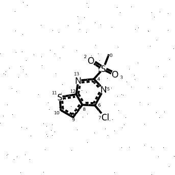 CS(=O)(=O)c1nc(Cl)c2ccsc2n1